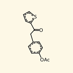 CC(=O)Oc1ccc(CC(=O)c2cccs2)cc1